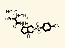 CCCC(C(=O)N[C@H]1CC[C@@H]2CN(S(=O)(=O)c3ccc(C#N)cc3)C[C@@H]21)N(C)C(=O)O